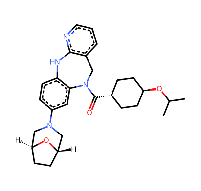 CC(C)O[C@H]1CC[C@H](C(=O)N2Cc3cccnc3Nc3ccc(N4C[C@@H]5CC[C@@H](C4)O5)cc32)CC1